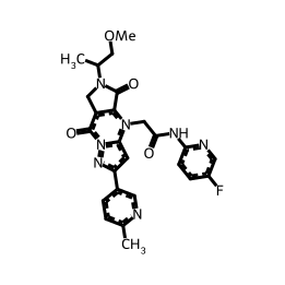 COCC(C)N1Cc2c(n(CC(=O)Nc3ccc(F)cn3)c3cc(-c4ccc(C)nc4)nn3c2=O)C1=O